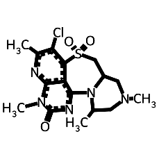 Cc1nc2c3c(nc(=O)n2C)N2C(C)CN(C)CC2CS(=O)(=O)c3c1Cl